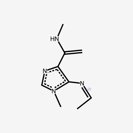 C=C(NC)c1ncn(C)c1/N=C\C